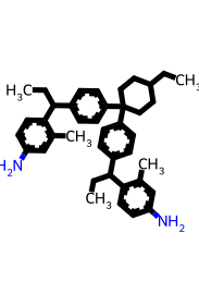 CCC1CCC(c2ccc(C(CC)c3ccc(N)cc3C)cc2)(c2ccc(C(CC)c3ccc(N)cc3C)cc2)CC1